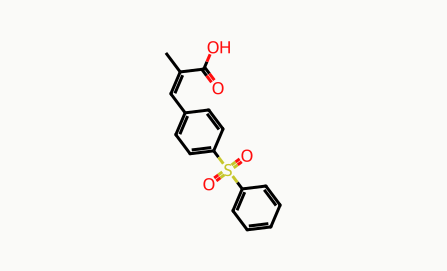 CC(=Cc1ccc(S(=O)(=O)c2ccccc2)cc1)C(=O)O